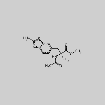 COC(=O)[C@](C)(Cc1ccc2nc(N)sc2c1)NC(C)=O